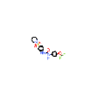 O=C(Nc1ccc(OC(F)F)cc1)Nc1ccc(S(=O)(=O)N2CCCCC2)cc1